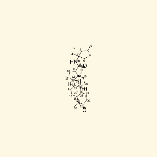 CCCC(CC)(CC)NC(=O)C1CC[C@H]2[C@@H]3CCC4N(C)C(=O)C=C[C@]4(C)[C@@H]3CC[C@]12C